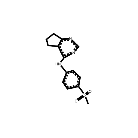 CS(=O)(=O)c1ccc(Nc2ncnc3c2CCC3)cc1